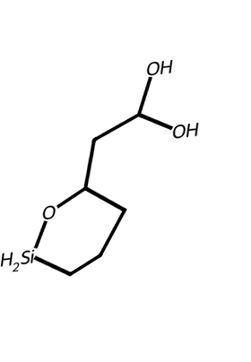 OC(O)CC1CCC[SiH2]O1